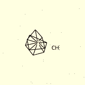 [CH].[CH]12[CH]3[CH]4[CH]5[CH]1[Fe]23451678[CH]2[CH]1[CH]6[CH]7[CH]28